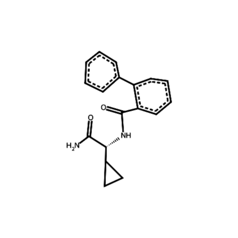 NC(=O)[C@H](NC(=O)c1ccccc1-c1ccccc1)C1CC1